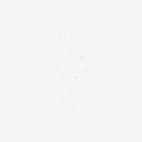 CC1CN(C(=O)OC(C)(C)C)CCN1c1ncnc2c1c(C(=O)OC(C)(C)C)cn2-c1cccc(Cl)c1